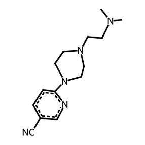 CN(C)CCN1CCN(c2ccc(C#N)cn2)CC1